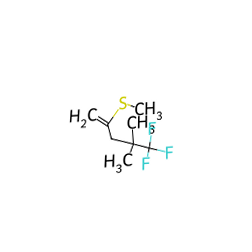 C=C(CC(C)(C)C(F)(F)F)SC